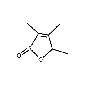 CC1=C(C)S(=O)OC1C